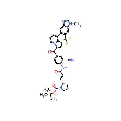 Cn1cnc2cc(-c3cccn4c(C(=O)c5ccc(NC(=O)/C=C/[C@@H]6CCCN6C(=O)OC(C)(C)C)c(C#N)c5)ccc34)c(C(F)(F)F)cc21